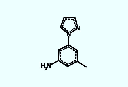 Cc1cc(N)cc(-n2cccn2)c1